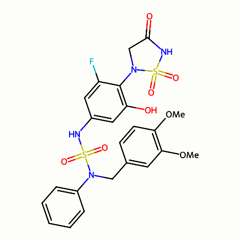 COc1ccc(CN(c2ccccc2)S(=O)(=O)Nc2cc(O)c(N3CC(=O)NS3(=O)=O)c(F)c2)cc1OC